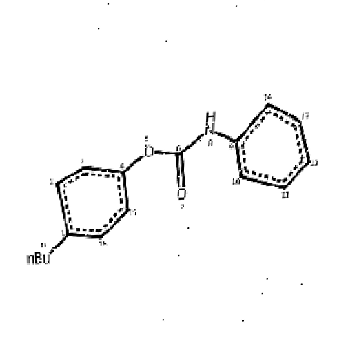 CCCCc1ccc(OC(=O)Nc2ccccc2)cc1